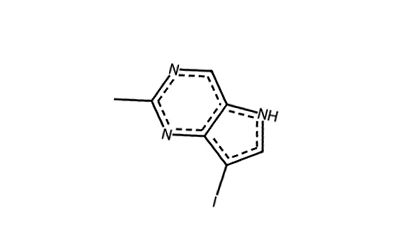 Cc1ncc2[nH]cc(I)c2n1